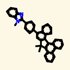 Cn1c(-c2ccc(-c3cc4c(c5ccccc35)-c3c(c5ccccc5c5ccccc35)C4(C)C)cc2)nc2ccccc21